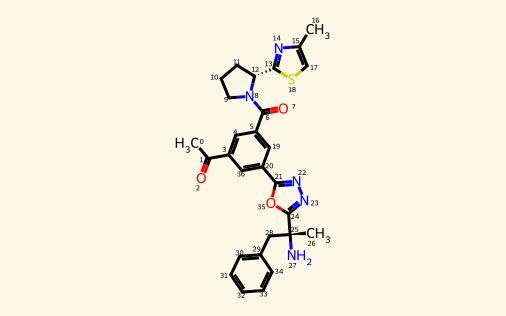 CC(=O)c1cc(C(=O)N2CCC[C@@H]2c2nc(C)cs2)cc(-c2nnc([C@](C)(N)Cc3ccccc3)o2)c1